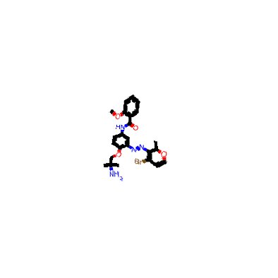 COc1ccccc1C(=O)Nc1ccc(OCC(C)(C)N)c(N=NC2=C(Br)C=COC2C)c1